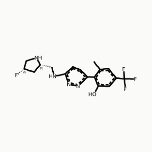 Cc1cc(C(F)(F)F)cc(O)c1-c1ccc(NC[C@@H]2C[C@H](F)CN2)nn1